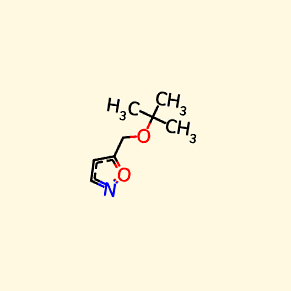 CC(C)(C)OCc1ccno1